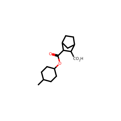 CC1CCC(OC(=O)C2C3CCC(C3)C2C(=O)O)CC1